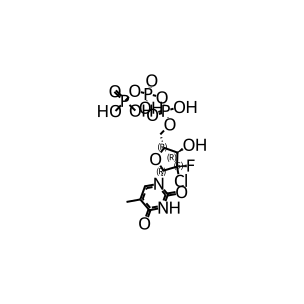 Cc1cn([C@@H]2O[C@H](COP(=O)(O)OP(=O)(O)OP(=O)(O)O)[C@@H](O)[C@]2(F)Cl)c(=O)[nH]c1=O